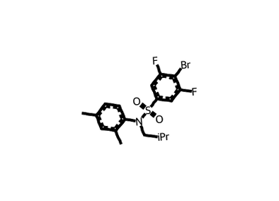 Cc1ccc(N(CC(C)C)S(=O)(=O)c2cc(F)c(Br)c(F)c2)c(C)c1